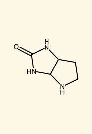 O=C1NC2CCNC2N1